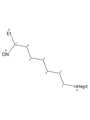 CCCCCCCCCCCCCC(CC)N=O